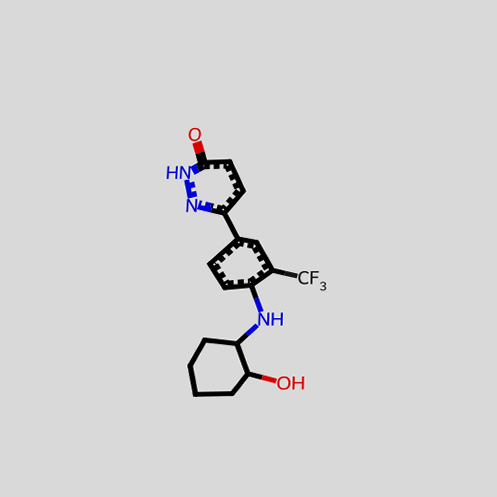 O=c1ccc(-c2ccc(NC3CCCCC3O)c(C(F)(F)F)c2)n[nH]1